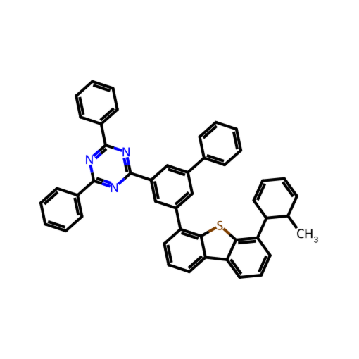 CC1C=CC=CC1c1cccc2c1sc1c(-c3cc(-c4ccccc4)cc(-c4nc(-c5ccccc5)nc(-c5ccccc5)n4)c3)cccc12